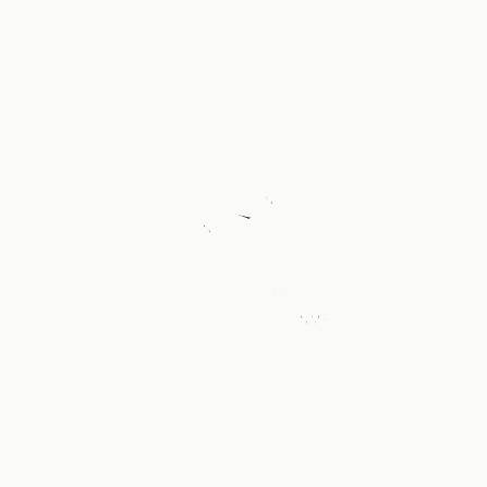 CNS(=O)(=O)c1cccc(C2CC=CCN([C@H](CN3CCCC3)c3ccccc3)C2=O)c1